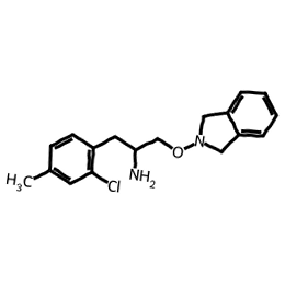 Cc1ccc(CC(N)CON2Cc3ccccc3C2)c(Cl)c1